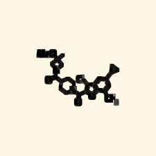 COC1(C)CN(C(=O)C2CCN(C(=O)c3oc4c(C(F)(F)F)cc(C5CC5)cc4c3Cl)CC2)C1